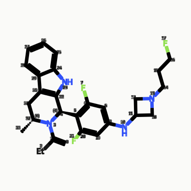 C=C(CC)N1[C@H](c2c(F)cc(NC3CN(CCCF)C3)cc2F)c2[nH]c3ccccc3c2C[C@H]1C